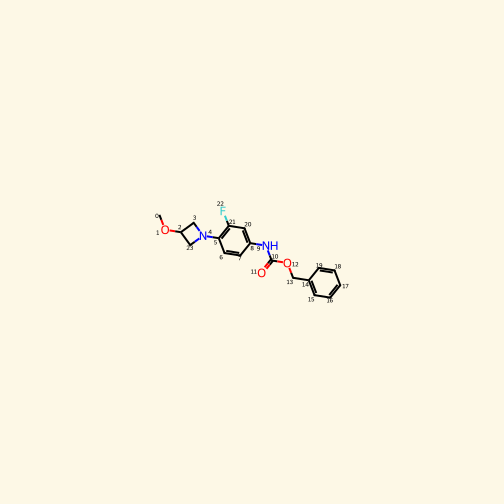 COC1CN(c2ccc(NC(=O)OCc3ccccc3)cc2F)C1